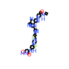 CCC1(C(=O)NC2CCC2)CCN(c2ccc(-c3nc(-c4cnn(C5CC(F)(CN6CCN(c7ccc(N[C@H]8CCC(=O)NC8=O)cc7F)CC6)C5)c4)cn4ncc(C#N)c34)cn2)CC1